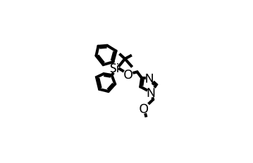 COCn1cnc(CO[Si](c2ccccc2)(c2ccccc2)C(C)(C)C)c1